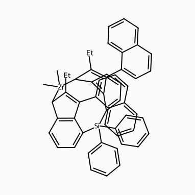 CCC1=C(c2cccc3ccccc23)c2c3cccc2[Si](c2ccccc2)(c2ccccc2)c2cccc4c2C(c2cccc5ccccc25)=C(CC)[CH]4[Zr]([CH3])([CH3])[CH]13